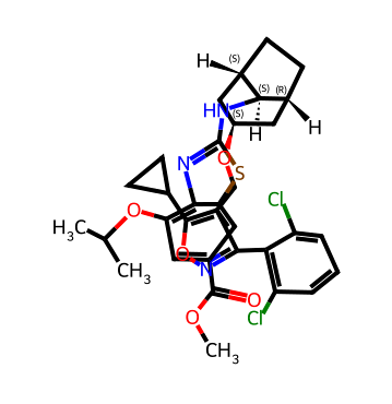 COC(=O)c1cc(OC(C)C)c2nc(N[C@@H]3[C@@H]4CC[C@H]3C[C@H](OCc3c(-c5c(Cl)cccc5Cl)noc3C3CC3)C4)sc2c1